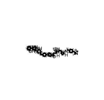 Cc1ncsc1-c1ccc([C@H](C)NC[C@@H]2CCCN2C[C@@H](NC(=O)CCC(=O)N2CCN(c3ccc(CN4CCCC(O/C(=C/C(=N)c5ccccc5O)C(=N)N)C4)cc3)CC2)C(C)(C)C)cc1